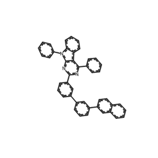 c1ccc(-c2nc(-c3cccc(-c4cccc(-c5ccc6ccccc6c5)c4)c3)nc3c2c2ccccc2n3-c2ccccc2)cc1